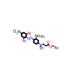 CCN(CCC(=O)OCC(C)=O)c1ccc(/N=N/c2c(Br)cc([N+](=O)[O-])cc2Br)c(NC(C)=O)c1